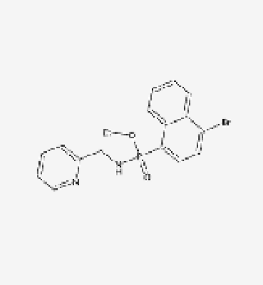 CCOP(=O)(NCc1ccccn1)c1ccc(Br)c2ccccc12